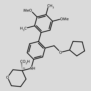 COc1cc(-c2ccc(N[C@@]3(C(=O)O)CCCOC3)cc2COC2CCCC2)c(C)c(OC)c1C